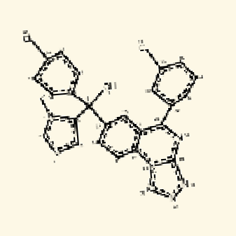 Cn1cncc1C(O)(c1ccc(Cl)cc1)c1ccc2c(c1)c(-c1cccc(Cl)c1)nc1nnnn12